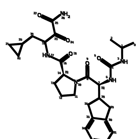 CC(C)NC(=O)N[C@H](C(=O)N1CCC[C@H]1C(=O)NC(CC1CC1)C(=O)C(N)=O)C1Cc2ccccc2C1